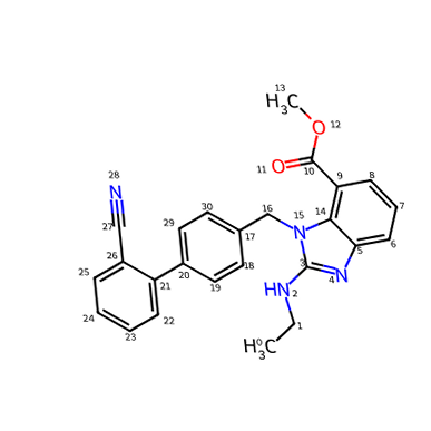 CCNc1nc2cccc(C(=O)OC)c2n1Cc1ccc(-c2ccccc2C#N)cc1